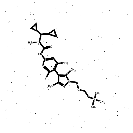 Cc1nn(COCC[Si](C)(C)C)c(C)c1-c1c(N)cc(NC(=O)[C@@H](N)C(C2CC2)C2CC2)nc1F